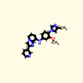 COc1cc(Nc2cccn3cc(-c4cccnc4)nc23)ccc1-n1cnc(C)c1